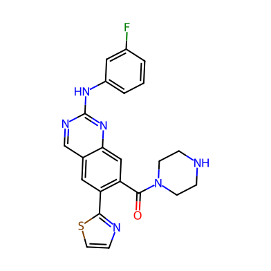 O=C(c1cc2nc(Nc3cccc(F)c3)ncc2cc1-c1nccs1)N1CCNCC1